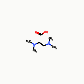 CN(C)CCN(C)C.O=CO